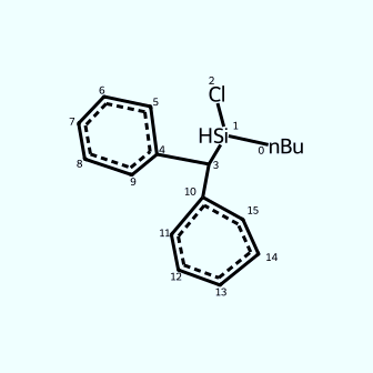 CCCC[SiH](Cl)C(c1ccccc1)c1ccccc1